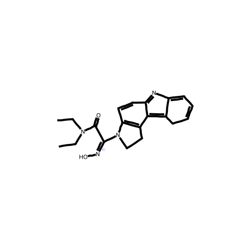 CCN(CC)C(=O)/C(=N\O)N1CCc2c1ccc1c2=C2CC=CC=C2N=1